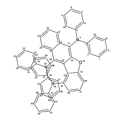 c1ccc(N(c2ccccc2)c2c3ccccc3c(N(c3ccccc3)c3ccccc3)c3c2oc2cccc(N(c4ccccc4)c4ccccc4)c23)cc1